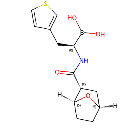 O=C(N[C@@H](Cc1ccsc1)B(O)O)[C@@H]1C[C@H]2CC[C@@H]1O2